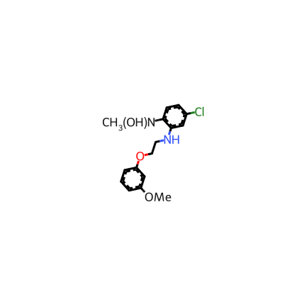 COc1cccc(OCCNc2cc(Cl)ccc2N(C)O)c1